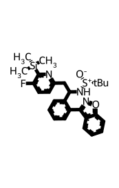 CC(C)(C)[S@+]([O-])NC(Cc1ccc(F)c([Si](C)(C)C)n1)c1ccccc1-c1noc2ccccc12